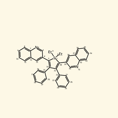 CC[Si]1(CC)C(c2cnc3ccccc3c2)=C(c2ccccc2)C(c2ccccc2)=C1c1cnc2ccccc2c1